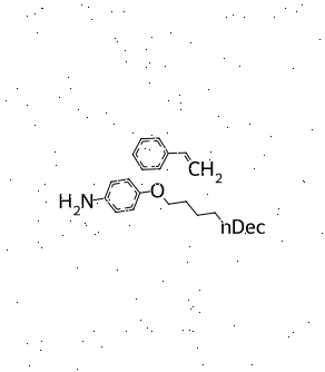 C=Cc1ccccc1.CCCCCCCCCCCCCCOc1ccc(N)cc1